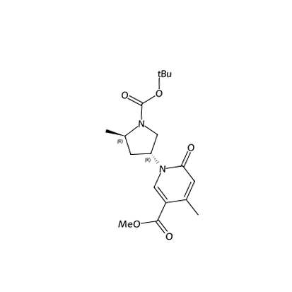 COC(=O)c1cn([C@@H]2C[C@@H](C)N(C(=O)OC(C)(C)C)C2)c(=O)cc1C